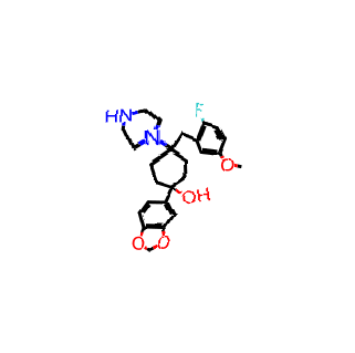 COc1ccc(F)c(CC2(N3CCNCC3)CCC(O)(c3ccc4c(c3)OCO4)CC2)c1